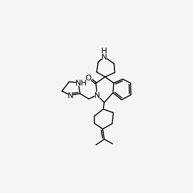 CC(C)=C1CCC(C2c3ccccc3C3(CCNCC3)C(=O)N2CC2=NCCN2)CC1